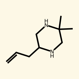 C=CCC1CNC(C)(C)CN1